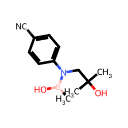 CB(O)N(CC(C)(C)O)c1ccc(C#N)cc1